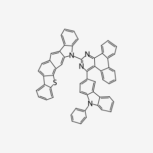 c1ccc(-n2c3ccccc3c3cc(-c4nc(-n5c6ccccc6c6cc7ccc8c9ccccc9sc8c7cc65)nc5c6ccccc6c6ccccc6c45)ccc32)cc1